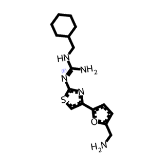 NCc1ccc(-c2csc(/N=C(\N)NCC3CCCCC3)n2)o1